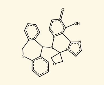 O=c1ccn2c(c1O)-c1nccn1C1(COC1)N2C1c2ccccc2CSc2ccccc21